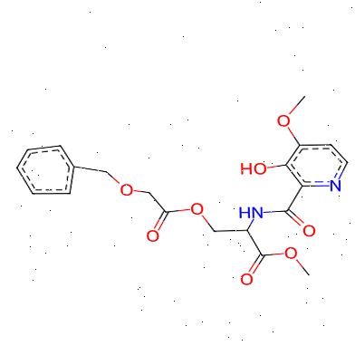 COC(=O)C(COC(=O)COCc1ccccc1)NC(=O)c1nccc(OC)c1O